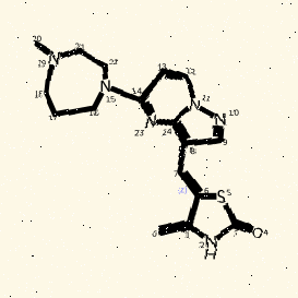 C=c1[nH]c(=O)s/c1=C\c1cnn2ccc(N3CCCN(C)CC3)nc12